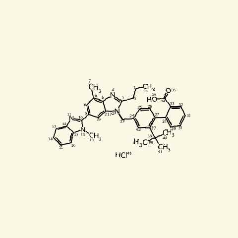 CCCc1nc2c(C)cc(-c3nc4ccccc4n3C)cc2n1Cc1ccc(-c2ccccc2C(=O)O)c(C(C)(C)C)c1.Cl